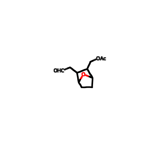 CC(=O)OCC1C2CCC(O2)C1CC=O